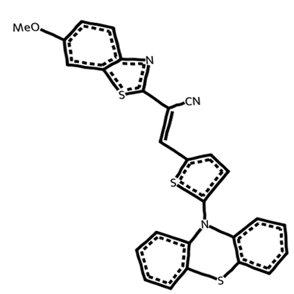 COc1ccc2nc(/C(C#N)=C/c3ccc(N4c5ccccc5Sc5ccccc54)s3)sc2c1